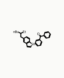 CCCCC(CC)Cc1ccc2c(c1)C=C[SH]2c1cc[c]c(C(=O)c2ccccc2)c1